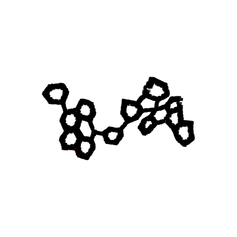 c1ccc(-c2ccc(-c3ccccc3N(c3cccc(-c4ccc5c(c4)C4(c6ccccc6-5)c5ccccc5-n5c6ccccc6c6cccc4c65)c3)c3ccccc3-c3ccccc3)cc2)cc1